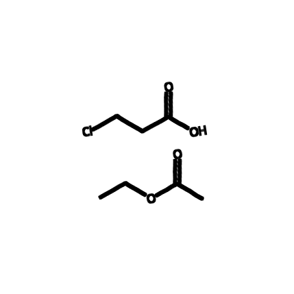 CCOC(C)=O.O=C(O)CCCl